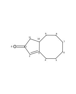 O=C1C=C2CCCCCCC2C1